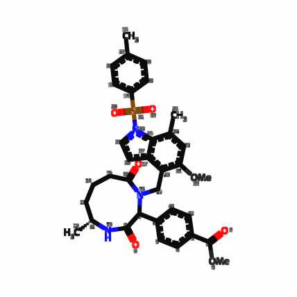 COC(=O)c1ccc(C2C(=O)N[C@H](C)CCCC(=O)N2Cc2c(OC)cc(C)c3c2ccn3S(=O)(=O)c2ccc(C)cc2)cc1